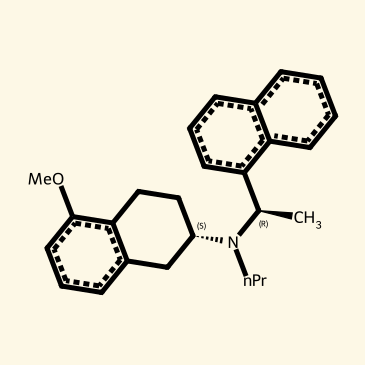 CCCN([C@H]1CCc2c(cccc2OC)C1)[C@H](C)c1cccc2ccccc12